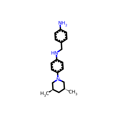 C[C@@H]1C[C@@H](C)CN(c2ccc(NCc3ccc(N)cc3)cc2)C1